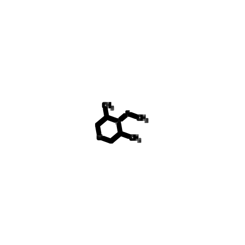 CSN1C(C)COCC1C